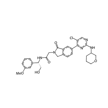 COc1cccc([C@@H](CO)NC(=O)CN2Cc3ccc(-c4nc(NC5CCCOC5)ncc4Cl)cc3C2=O)c1